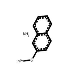 CCCOc1ccc2ccccc2c1.N